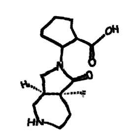 O=C(O)C1CCCC1N1C[C@@H]2CNCC[C@]2(F)C1=O